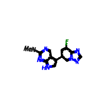 CNc1ncc2c(-c3cc(F)c4ncnn4c3)c[nH]c2n1